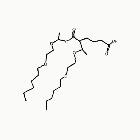 CCCCCCOCCOC(C)OC(=O)C(CCCC(=O)O)C(C)OCCOCCCCCC